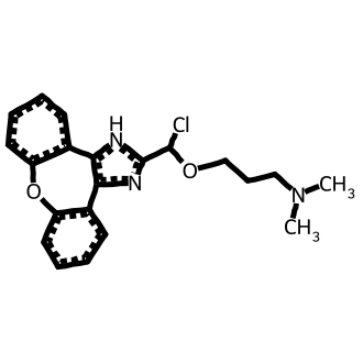 CN(C)CCCOC(Cl)c1nc2c([nH]1)-c1ccccc1Oc1ccccc1-2